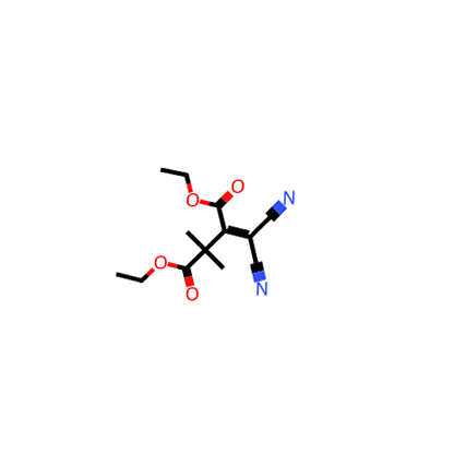 CCOC(=O)C(=C(C#N)C#N)C(C)(C)C(=O)OCC